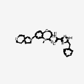 CN1C(=O)[C@H](NC(=O)c2n[nH]c(Cc3ccccc3)n2)COc2ccc(N3CCC4(CCOCC4)C3)cc21